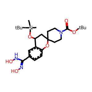 CC(C)(C)OC(=O)N1CCC2(CC1)CC(O[Si](C)(C)C(C)(C)C)c1cc(/C(=N/O)NO)ccc1O2